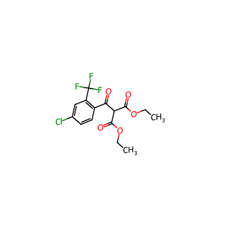 CCOC(=O)C(C(=O)OCC)C(=O)c1ccc(Cl)cc1C(F)(F)F